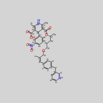 CC(=Cc1ccc(Cc2cccnc2)cc1)COCCCC(C)OC(=O)C1=C(C)NC(C)=C(C(=O)O)C1c1cccc([N+](=O)[O-])c1